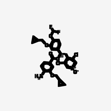 Nc1ccc(C(=O)O[C@@H](Cc2c(Cl)c[n+]([O-])cc2Cl)c2ccc(OC(F)F)c(OCC3CC3)c2)cc1OCC1CC1